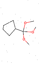 COC(OC)(OC)C1CCCC1